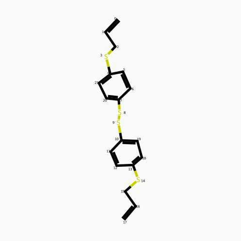 C=CCSc1ccc(SSc2ccc(SCC=C)cc2)cc1